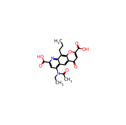 CCCc1c2nc(C(=O)O)cc(N(CC)C(C)=O)c2cc2c(=O)cc(C(=O)O)oc12